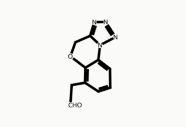 O=CCc1cccc2c1OCc1nnnn1-2